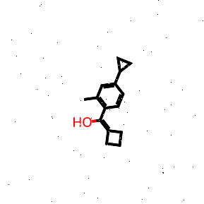 Cc1cc(C2CC2)ccc1C(O)=C1CCC1